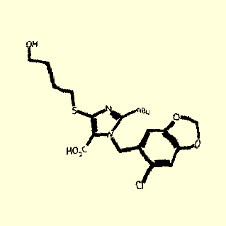 CCCCc1nc(SCCCCO)c(C(=O)O)n1Cc1cc2c(cc1Cl)OCO2